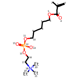 C=C(C)C(=O)OCCCCCOP(=O)([O-])OCC[N+](CC)(CC)CC